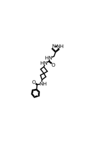 O=C(NCc1cn[nH]c1)NC1CC2(C1)CC(NC(=O)c1ccccc1)C2